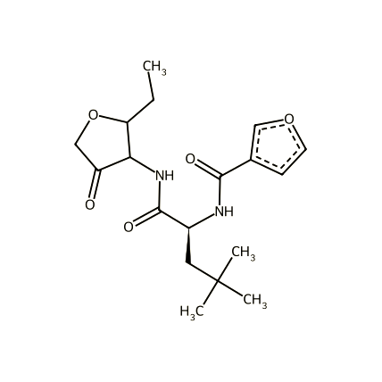 CCC1OCC(=O)C1NC(=O)[C@H](CC(C)(C)C)NC(=O)c1ccoc1